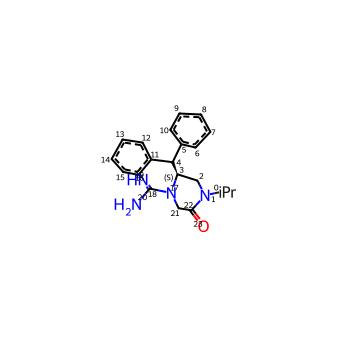 CC(C)N1C[C@H](C(c2ccccc2)c2ccccc2)N(C(=N)N)CC1=O